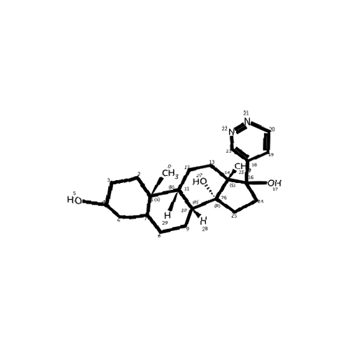 C[C@]12CCC(O)CC1CC[C@@H]1[C@H]2CC[C@]2(C)C(O)(c3ccnnc3)CC[C@@]12O